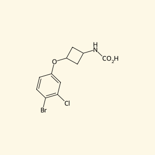 O=C(O)NC1CC(Oc2ccc(Br)c(Cl)c2)C1